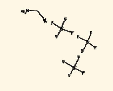 F[B-](F)(F)F.F[B-](F)(F)F.F[B-](F)(F)F.N[CH2][K]